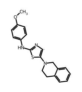 COc1ccc(Nc2n[c]c(N3CCc4ccccc4C3)s2)cc1